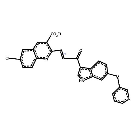 CCOC(=O)c1cc2cc(Cl)ccc2nc1/C=C/C(=O)c1c[nH]c2cc(Oc3cccnc3)ccc12